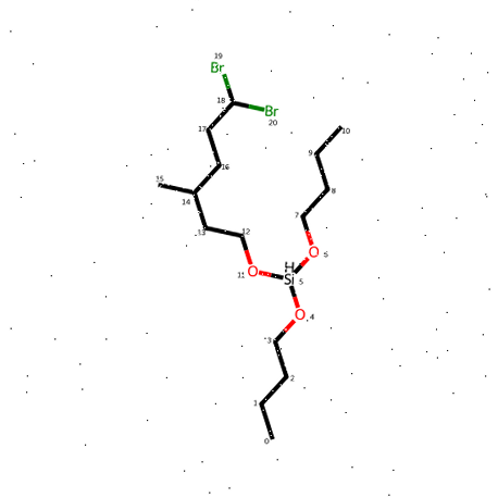 CCCCO[SiH](OCCCC)OCCC(C)CCC(Br)Br